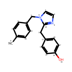 N#Cc1ccc(Cn2ccnc2Cc2ccc(O)cc2)cc1